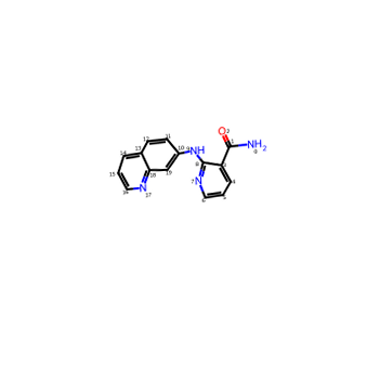 NC(=O)c1cccnc1Nc1ccc2cccnc2c1